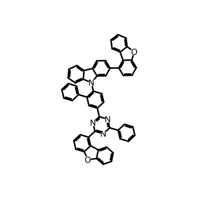 c1ccc(-c2nc(-c3ccc(-n4c5ccccc5c5ccc(-c6cccc7oc8ccccc8c67)cc54)c(-c4ccccc4)c3)nc(-c3cccc4oc5ccccc5c34)n2)cc1